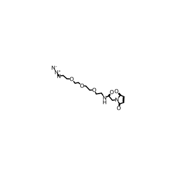 [N-]=[N+]=NCCOCCOCCOCCNC(=O)CN1C(=O)C=CC1=O